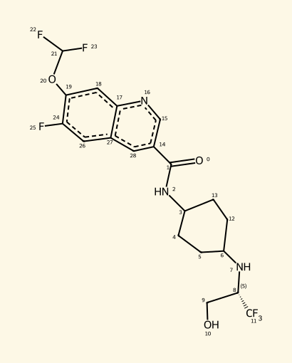 O=C(NC1CCC(N[C@@H](CO)C(F)(F)F)CC1)c1cnc2cc(OC(F)F)c(F)cc2c1